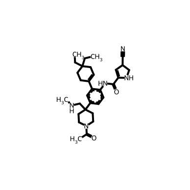 CCC1(CC)CC=C(c2cc(C3(CNC)CCN(C(C)=O)CC3)ccc2NC(=O)C2=CC(C#N)CN2)CC1